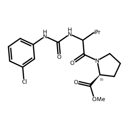 COC(=O)[C@@H]1CCCN1C(=O)C(NC(=O)Nc1cccc(Cl)c1)C(C)C